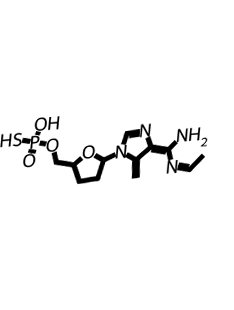 C=c1/c(=C(N)\N=C/C)ncn1C1CCC(COP(=O)(O)S)O1